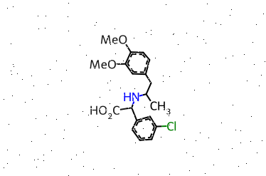 COc1ccc(CC(C)NC(C(=O)O)c2cccc(Cl)c2)cc1OC